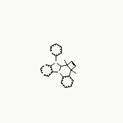 CC12C=CC1(C)C1N(c3ccccc32)c2cncnc2N1c1ccccn1